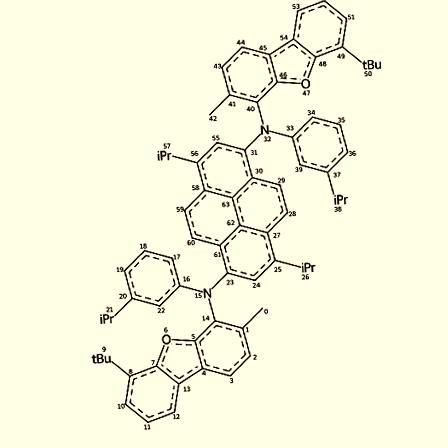 Cc1ccc2c(oc3c(C(C)(C)C)cccc32)c1N(c1cccc(C(C)C)c1)c1cc(C(C)C)c2ccc3c(N(c4cccc(C(C)C)c4)c4c(C)ccc5c4oc4c(C(C)(C)C)cccc45)cc(C(C)C)c4ccc1c2c43